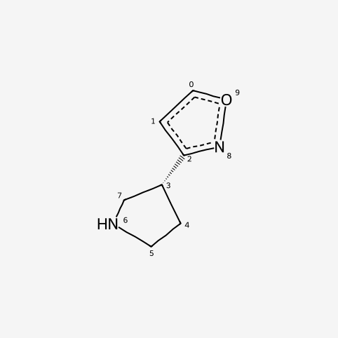 c1cc([C@@H]2CCNC2)no1